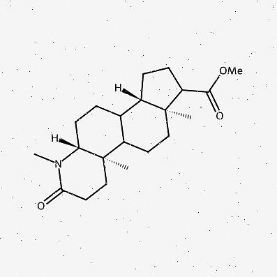 COC(=O)C1CC[C@H]2C3CC[C@H]4N(C)C(=O)CC[C@]4(C)C3CC[C@]12C